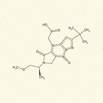 COC[C@H](C)N1Cc2c(n(CC(=O)O)c3cc(C(C)(C)C)nn3c2=O)C1=O